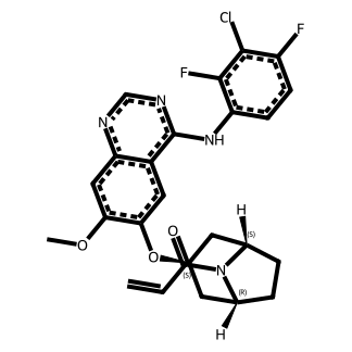 C=CC(=O)N1[C@@H]2CC[C@H]1C[C@H](Oc1cc3c(Nc4ccc(F)c(Cl)c4F)ncnc3cc1OC)C2